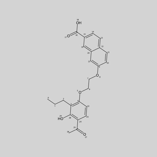 CCCc1c(OCCOc2ccc3ccc(C(=O)O)cc3c2)ccc(C(C)=O)c1O